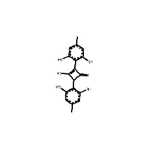 Cc1cc(O)c(C2=C(O)C(c3c(O)cc(C)cc3O)C2=O)c(O)c1